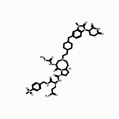 Cn1c(=O)n(C2CCC(=O)NC2=O)c2ccc(CC3CCC(CCN4CC[C@H]5CC[C@@H](C(=O)N[C@@H](CCC(N)=O)C(=O)NCc6ccc(S(C)(=O)=O)cc6)N5C(=O)[C@@H](NC(=O)OC(C)(C)C)C4)CC3)cc21